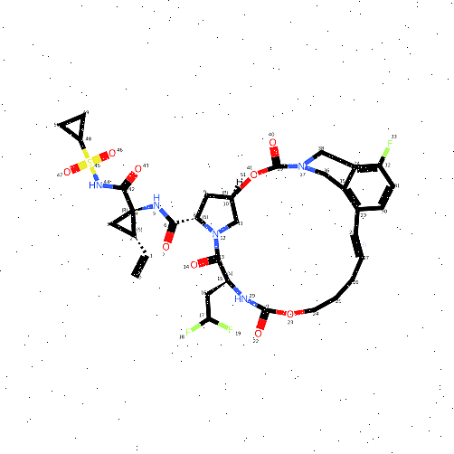 C=C[C@@H]1C[C@]1(NC(=O)[C@@H]1C[C@@H]2CN1C(=O)[C@H](CC(F)F)NC(=O)OCCC/C=C/c1ccc(F)c3c1CN(C3)C(=O)O2)C(=O)NS(=O)(=O)C1CC1